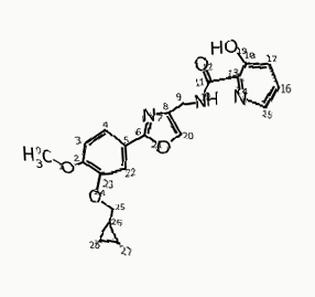 COc1ccc(-c2nc(CNC(=O)c3ncccc3O)co2)cc1OCC1CC1